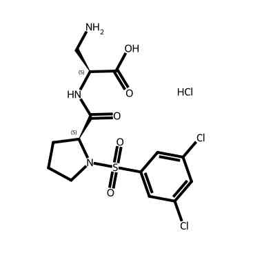 Cl.NC[C@H](NC(=O)[C@@H]1CCCN1S(=O)(=O)c1cc(Cl)cc(Cl)c1)C(=O)O